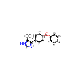 O=C(O)c1[nH]cnc1-c1ccc(Oc2ccccc2)cc1